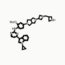 COc1cc(N2CC3CN(C4CN(CC5CNC5)C4)CC3C2)ccc1Nc1nccc(-c2cn(C3CC3)c3ccccc23)n1